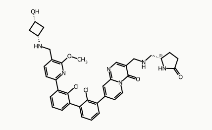 COc1nc(-c2cccc(-c3cccc(-c4ccn5c(=O)c(CNC[C@@H]6CCC(=O)N6)cnc5c4)c3Cl)c2Cl)ccc1CN[C@H]1C[C@@H](O)C1